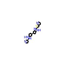 c1cncc(-c2nc3cc(-c4ccc5[nH]c(-c6cc7cccnc7s6)nc5c4)ccc3[nH]2)c1